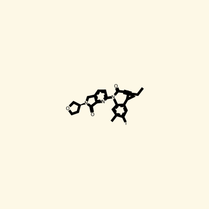 CCC#CC(=O)N(c1ccc2c(n1)C(=O)N([C@H]1CCOC1)C2)c1cc(C)c(I)cc1C1CC1